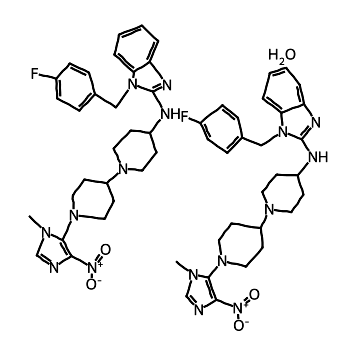 Cn1cnc([N+](=O)[O-])c1N1CCC(N2CCC(Nc3nc4ccccc4n3Cc3ccc(F)cc3)CC2)CC1.Cn1cnc([N+](=O)[O-])c1N1CCC(N2CCC(Nc3nc4ccccc4n3Cc3ccc(F)cc3)CC2)CC1.O